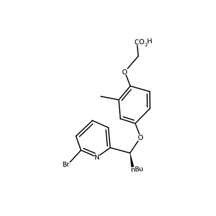 CCCC[C@H](Oc1ccc(OCC(=O)O)c(C)c1)c1cccc(Br)n1